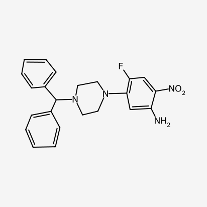 Nc1cc(N2CCN(C(c3ccccc3)c3ccccc3)CC2)c(F)cc1[N+](=O)[O-]